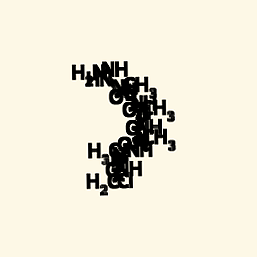 C=C(Cl)C(=O)Nc1cc(C(=O)Nc2cc(C(=O)Nc3cc(C(=O)Nc4cc(C(=O)NCCNC(=N)N)n(C)c4)n(C)c3)n(C)n2)n(C)n1